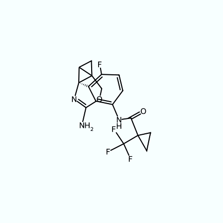 NC1=N[C@@]2(c3cc(NC(=O)C4(C(F)(F)F)CC4)ccc3F)C3CC32CO1